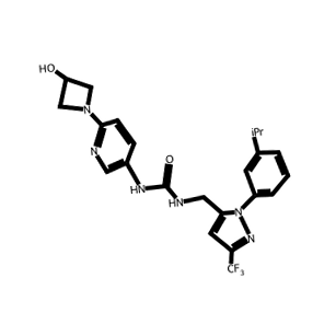 CC(C)c1cccc(-n2nc(C(F)(F)F)cc2CNC(=O)Nc2ccc(N3CC(O)C3)nc2)c1